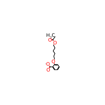 C=CC(=O)OCCCCCCOc1ccccc1C([O])=O